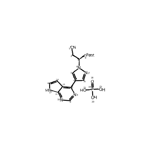 CCCCC[C@H](CC#N)n1cc(-c2ncnc3[nH]ccc23)cn1.O=P(O)(O)O